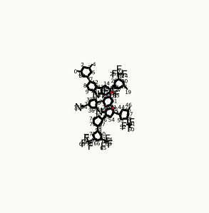 Cc1cc(C)cc(-c2ccc3c(c2)c2cc(-c4cc(C)cc(C(F)(F)F)c4)ccc2n3-c2cc(C#N)cc(-n3c4ccc(-c5cc(C)cc(C(F)(F)F)c5)cc4c4cc(-c5cc(C(F)(F)F)cc(C(F)(F)F)c5)ccc43)c2-c2cc(C)cc(C(F)(F)F)c2)c1